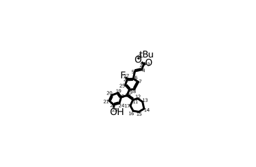 CC(C)(C)OC(=O)C=Cc1ccc(C(=C2CCCCCC2)c2cccc(O)c2)cc1F